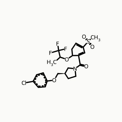 CC(OC1CC=C(S(C)(=O)=O)C=C1C(=O)N1CC[C@@H](COc2ccc(Cl)cc2)C1)C(F)(F)F